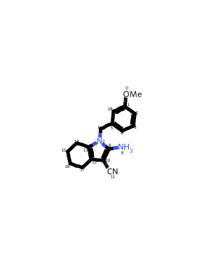 COc1cccc(Cn2c(N)c(C#N)c3c2CCCC3)c1